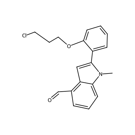 Cn1c(-c2ccccc2OCCCCl)cc2c(C=O)cccc21